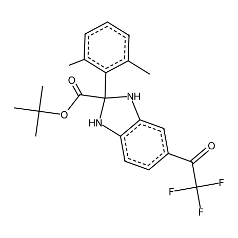 Cc1cccc(C)c1C1(C(=O)OC(C)(C)C)Nc2ccc(C(=O)C(F)(F)F)cc2N1